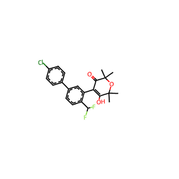 CC1(C)OC(C)(C)C(O)=C(c2cc(-c3ccc(Cl)cc3)ccc2C(F)F)C1=O